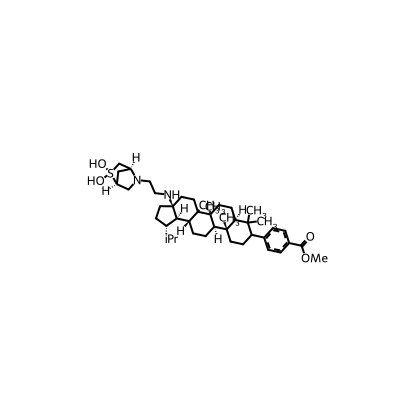 COC(=O)c1ccc(C2CC[C@]3(C)[C@H]4CC[C@@H]5[C@H]6[C@H](C(C)C)CC[C@]6(NCCN6C[C@@H]7C[C@H]6CS7(O)O)CC[C@@]5(C)[C@]4(C)CC[C@H]3C2(C)C)cc1